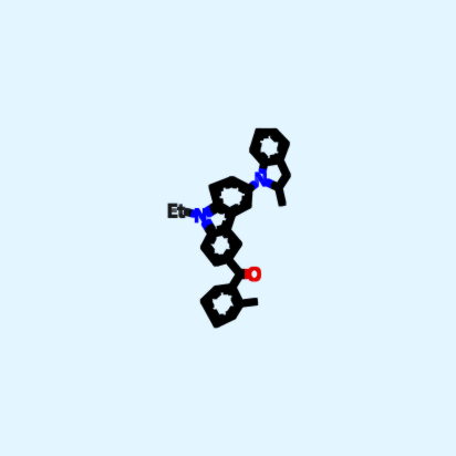 CCn1c2ccc(C(=O)c3ccccc3C)cc2c2cc(N3c4ccccc4CC3C)ccc21